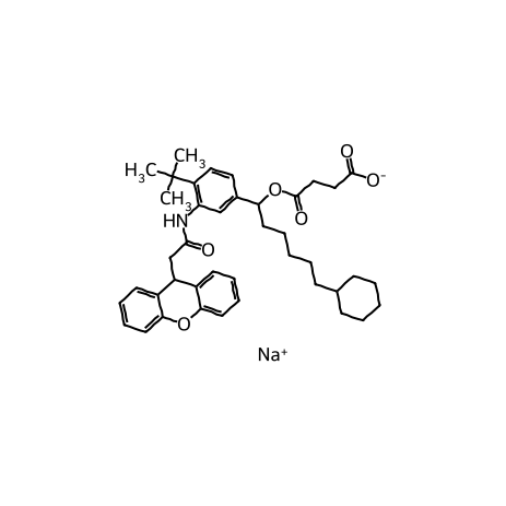 CC(C)(C)c1ccc(C(CCCCCC2CCCCC2)OC(=O)CCC(=O)[O-])cc1NC(=O)CC1c2ccccc2Oc2ccccc21.[Na+]